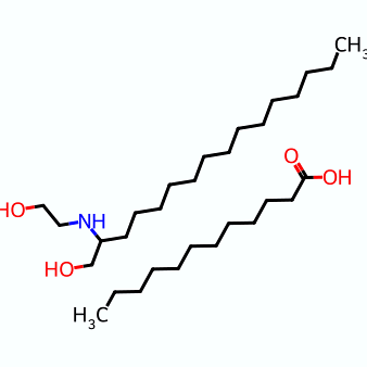 CCCCCCCCCCCC(=O)O.CCCCCCCCCCCCCCC(CO)NCCO